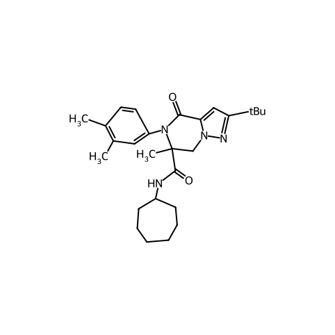 Cc1ccc(N2C(=O)c3cc(C(C)(C)C)nn3CC2(C)C(=O)NC2CCCCCC2)cc1C